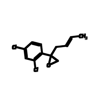 CC=CCC1(c2ccc(Cl)cc2Cl)CO1